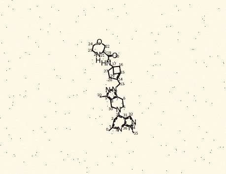 Cc1cc(N2CCc3c(c(C)nn3CC3=C4CC(NC(=O)[C@@H]5COCCN5)(CC3)C4)C2)c2cnn(C)c2n1